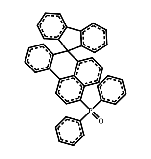 O=P(c1ccccc1)(c1ccccc1)c1ccc2c3c(cccc13)C1(c3ccccc3-c3ccccc31)c1ccccc1-2